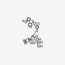 O=C([C@@H](O)[C@@H](O)[C@H](O)[C@@H](O)CO)N(CCCSc1ccc(Cl)c(COC2(c3cnccc3-c3ccccc3OC3CC3)CC2)c1)CCN1CCS(=O)(=O)CC1